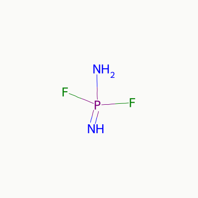 N=P(N)(F)F